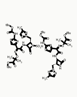 Cc1cnn(C[C@@H]2[C@H](NC(=O)/C(=N\OC(C)(C)C(=O)OC(C)(C)C)c3csc(NC(=O)OC(C)(C)C)n3)C(=O)N2S(=O)(=O)O)n1.Cc1cnn(C[C@H]2NC(=O)[C@H]2NC(=O)/C(=N\OC(C)(C)C(=O)OC(C)(C)C)c2csc(NC(=O)OC(C)(C)C)n2)n1